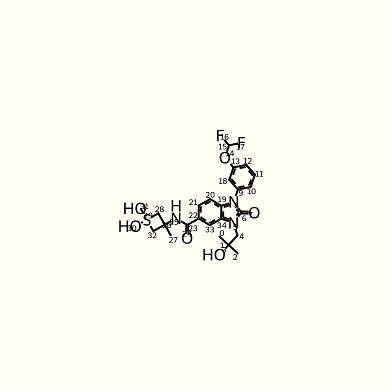 CC(C)(O)Cn1c(=O)n(-c2cccc(OC(F)F)c2)c2ccc(C(=O)NC3(C)CS(O)(O)C3)cc21